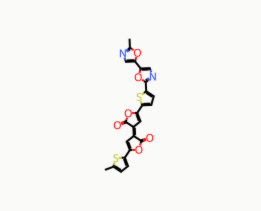 Cc1ncc(-c2cnc(-c3ccc(C4=C/C(=C5/C=C(c6ccc(C)s6)OC5=O)C(=O)O4)s3)o2)o1